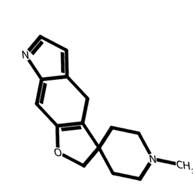 CN1CCC2(CC1)COC1=C2CC2=CC=NC2=C1